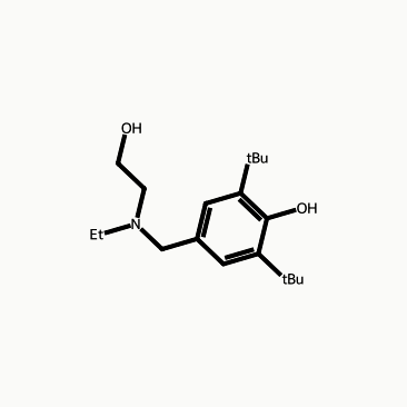 CCN(CCO)Cc1cc(C(C)(C)C)c(O)c(C(C)(C)C)c1